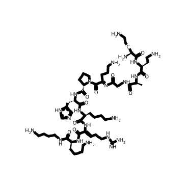 C[C@H](NC(=O)[C@H](CCN)NC(=O)[C@@H](N)CCCN)C(=O)NCC(=O)/N=C(\CCCN)C(=O)N1CCC[C@H]1C(=O)N[C@@H](Cc1cnc[nH]1)C(=O)N[C@@H](CCCCN)C(=O)N/C(=C\CCNC(=N)N)C(=O)N[C@@H](CCCCN)C(=O)NCCCCN